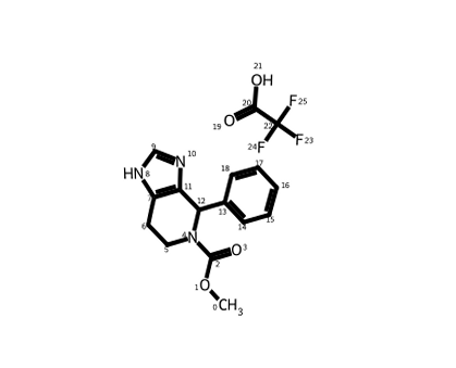 COC(=O)N1CCc2[nH]cnc2C1c1ccccc1.O=C(O)C(F)(F)F